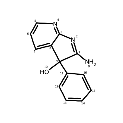 NC1=Nc2ncccc2C1(O)c1ccccc1